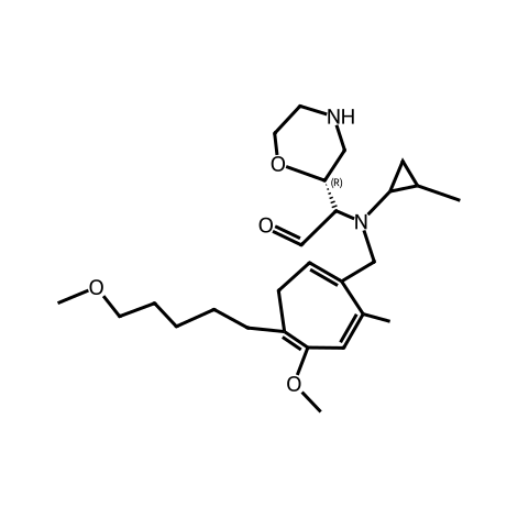 COCCCCCC1=C(OC)C=C(C)C(CN(C2CC2C)C(C=O)[C@H]2CNCCO2)=CC1